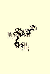 CC(C)=NN(CC(=O)Nc1ccc(-c2cnccn2)cn1)C(C)CCc1ccnc(N(C)C)c1